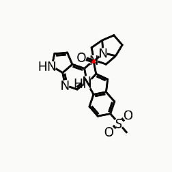 CS(=O)(=O)c1ccc2[nH]c(C(=O)N3C4CCC3CN(c3ncnc5[nH]ccc35)C4)cc2c1